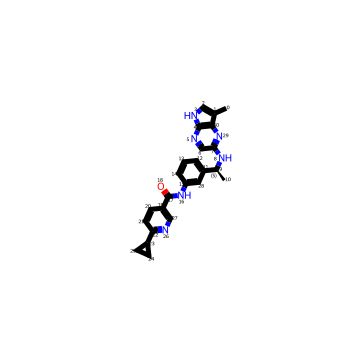 Cc1c[nH]c2ncc(N[C@@H](C)c3cccc(NC(=O)c4ccc(C5CC5)nc4)c3)nc12